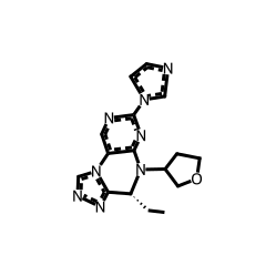 CC[C@@H]1c2nncn2-c2cnc(-n3ccnc3)nc2N1C1CCOC1